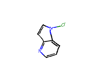 Cln1ccc2ncccc21